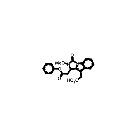 CON1C(=O)n2c(c(CC(=O)O)c3ccccc32)C1CC(=O)Oc1ccccc1